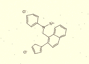 [Cl-].[Cl-].[Ti+2][N](Cc1c(C2=CC=CC2)ccc2ccccc12)c1ccccc1